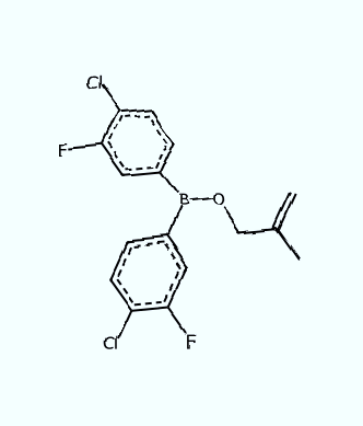 C=C(C)COB(c1ccc(Cl)c(F)c1)c1ccc(Cl)c(F)c1